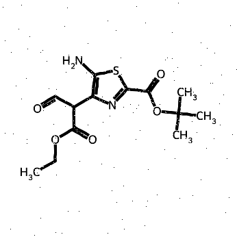 CCOC(=O)C(C=O)c1nc(C(=O)OC(C)(C)C)sc1N